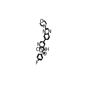 O=S(=O)(Nc1cc(-c2ccc3ncc(N4CCOCC4)nc3c2)cnc1Cl)c1ccc(F)cc1